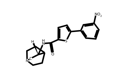 O=C(N[C@H]1CN2CCC1CC2)c1ccc(-c2cccc([N+](=O)[O-])c2)s1